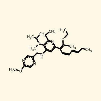 CC/C=C/C=C\C(=C(/C)OCC)c1cc(NCc2cnc(OC)cn2)c(N(C)C(C)C)c(CC)n1